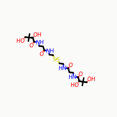 CC(C)(CO)[C@H](O)C(=O)NCCC(=O)NCCSSCCNC(=O)CCNC(=O)[C@H](O)C(C)(C)CO